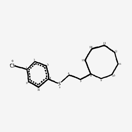 Clc1ccc(SCCC2CCCCCCC2)cc1